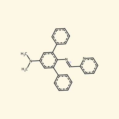 CN(C)c1cc(-c2ccccc2)c(/N=C/c2ccccn2)c(-c2ccccc2)c1